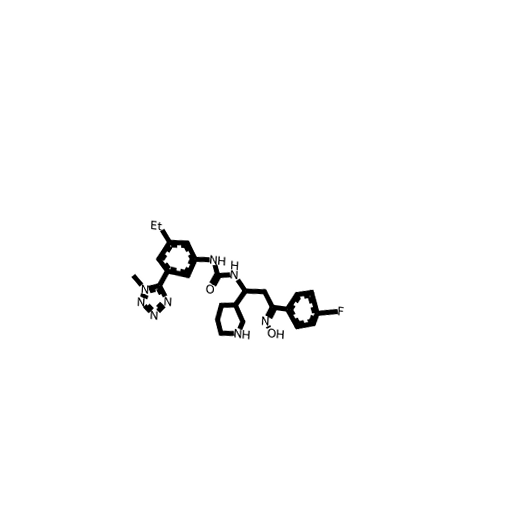 CCc1cc(NC(=O)NC(CC(=NO)c2ccc(F)cc2)C2CCCNC2)cc(-c2nnnn2C)c1